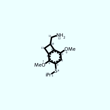 COc1cc(SC(C)C)c(OC)c2c1C(CN)C2